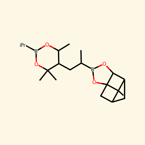 CC(C)B1OC(C)C(CC(C)B2OC3C4CC5CC3(O2)C54C)C(C)(C)O1